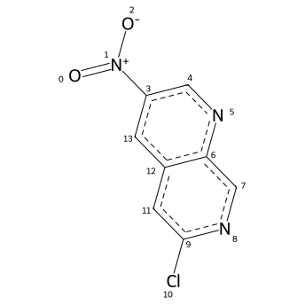 O=[N+]([O-])c1cnc2cnc(Cl)cc2c1